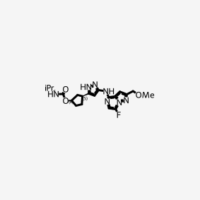 COCc1cc2c(Nc3cc([C@H]4CC[C@@H](OC(=O)NC(C)C)C4)[nH]n3)ncc(F)n2n1